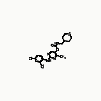 O=C(NCC1CCSCC1)Oc1cnc(Nc2ccc(Cl)cc2Cl)nc1C(F)(F)F